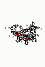 CCCC[C@@H](C(=O)N(C)[C@@H](CCCC)C(=O)N[C@@H](CC(C)C)C(=O)N[C@@H](CSCC(N)=O)C(=O)NCC(N)=O)N(C)C(=O)[C@H](Cc1cn(CC(=O)OC)c2ccccc12)NC(=O)[C@H](CCN)NC(=O)[C@H](Cc1c[nH]c2ccccc12)NC(=O)[C@@H]1C[C@@H](O)CN1C(=O)[C@H](CC(C)C)NC(=O)[C@H](CN)NC(=O)[C@@H]1CCCN1C(=O)[C@H](CC(N)=O)NC(=O)[C@H](C)N(C)C(=O)CCc1ccc(O)cc1